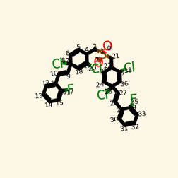 O=S(=O)(CC1C=CC(Cl)(/C=C/c2ccccc2F)C=C1Cl)CC1C=CC(Cl)(/C=C/c2ccccc2F)C=C1Cl